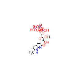 Cc1cc2cc([C@@H]3O[C@H](COP(=O)(O)OP(=O)(O)OP(=O)(O)O)[C@H](O)C3O)c(=O)nc-2[nH]c1C(F)(F)F